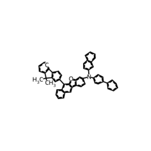 CC1(C)c2ccccc2-c2ccc(-c3c4ccccc4cc4c3oc3cc(N(c5ccc(-c6ccccc6)cc5)c5ccc6ccccc6c5)ccc34)cc21